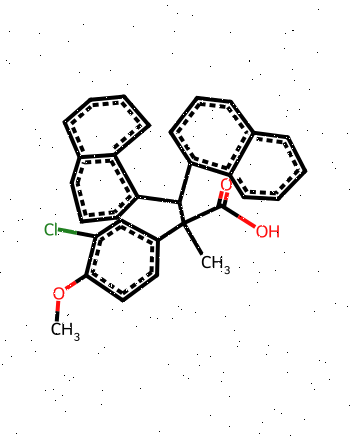 COc1ccc(C(C)(C(=O)O)C(c2cccc3ccccc23)c2cccc3ccccc23)cc1Cl